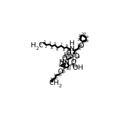 C=CCCCCCCCCC(=O)NC(CCOc1ccccc1)C(=O)NCC(=O)N1[C@H]2C[C@@]2(COCCCC=C)C[C@H]1C(=O)O